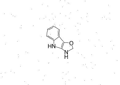 c1ccc2c3c([nH]c2c1)NCO3